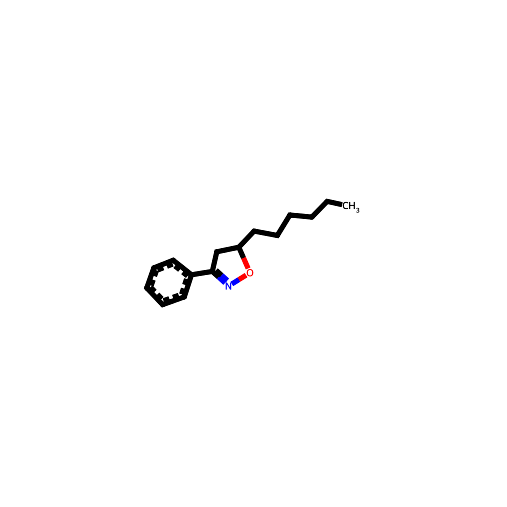 CCCCCCC1CC(c2ccccc2)=NO1